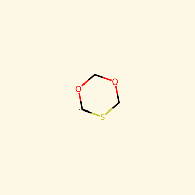 [CH]1OCOCS1